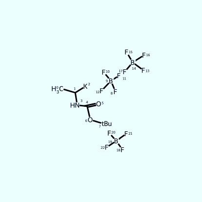 C[CH]([K])NC(=O)OC(C)(C)C.F[B-](F)(F)F.F[B-](F)(F)F.F[B-](F)(F)F